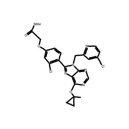 CNC(=O)COc1ccc(-c2nc3c(OC4(C)CC4)ncnc3n2Cc2cc(Cl)ccn2)c(Cl)c1